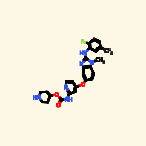 Cn1c(Nc2cc(C(F)(F)F)ccc2F)nc2cc(Oc3ccnc(NC(=O)OC4CCNCC4)c3)ccc21